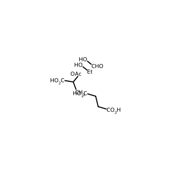 CC(=O)OC(C)C(=O)O.CCO.O=C(O)CCC(=O)O.O=CO